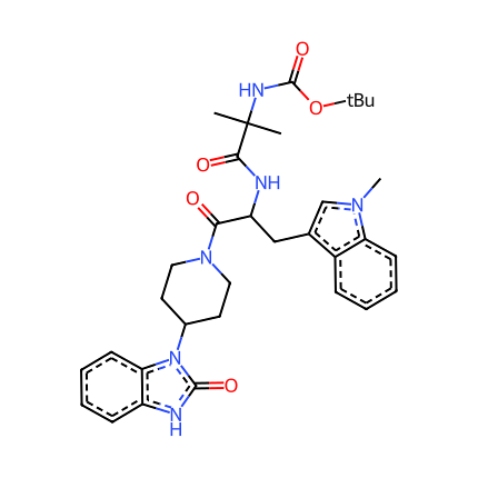 Cn1cc(CC(NC(=O)C(C)(C)NC(=O)OC(C)(C)C)C(=O)N2CCC(n3c(=O)[nH]c4ccccc43)CC2)c2ccccc21